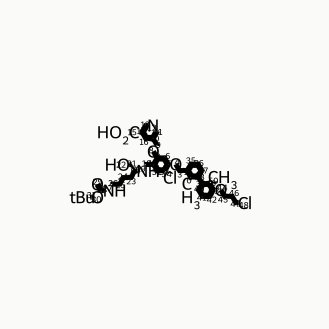 Cc1c(COc2cc(OCc3cncc(C(=O)O)c3)c(CN[C@H](CO)CCCCNC(=O)OC(C)(C)C)cc2Cl)cccc1-c1cccc(OCCCCl)c1C